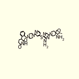 C[C@@H]1OCC2(CCN(c3cnc(Sc4ccnc(N5CCN(Cc6ccccc6C6CCC(=O)NC6=O)CC5)c4)c(N)n3)CC2)[C@@H]1N